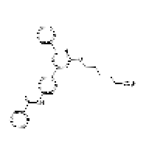 O=C(O)CCCCCOc1cc(-c2ccc(NC(=O)c3ccccc3)cc2)cc(-c2ccccc2)n1